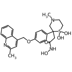 Cc1cc(COc2ccc(C3(CC(=O)NO)CN(C)CCS3(O)O)cc2)c2ccccc2n1